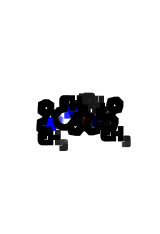 C=C1CC2c3ccccc3-c3ccc(C)c[n+]3C2CCc2ccc3c(oc4nc(-c5c(C)ccc(-c6ccccc6)c5C)ccc43)c2-c2cc(C)c(C(C)(C)C)c[n+]21